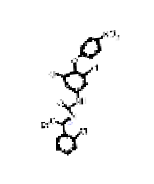 CCO/C(=N\C(=O)Nc1cc(Cl)c(Oc2ccc([N+](=O)[O-])cc2)c(Cl)c1)c1ccccc1Cl